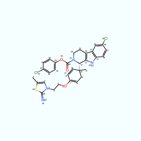 Cc1cn(CCOC2=CCC(C)([C@H]3c4[nH]c5ccc(Cl)cc5c4CCN3C(=O)Oc3ccc(Cl)cc3)C=C2)c(=N)s1